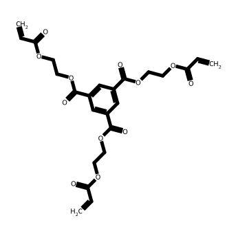 C=CC(=O)OCCOC(=O)c1cc(C(=O)OCCOC(=O)C=C)cc(C(=O)OCCOC(=O)C=C)c1